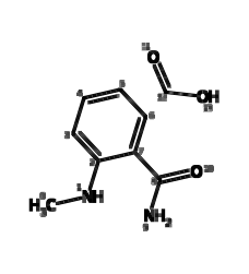 CNc1ccccc1C(N)=O.O=CO